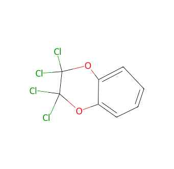 ClC1(Cl)Oc2ccccc2OC1(Cl)Cl